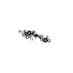 Cn1c(=O)n(C)c2cc(C(=O)NC34CC(NCCOc5ccc(Cl)c(F)c5)(C3)C4)ccc21